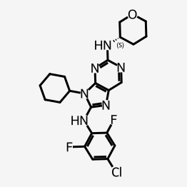 Fc1cc(Cl)cc(F)c1Nc1nc2cnc(N[C@H]3CCCOC3)nc2n1C1CCCCC1